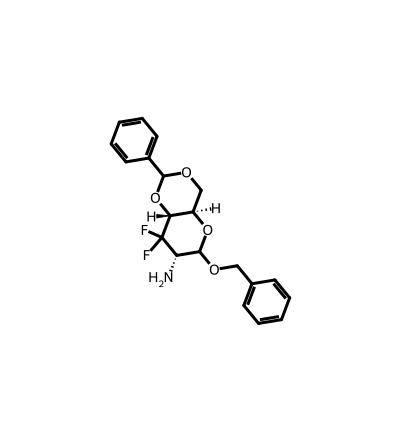 N[C@H]1C(OCc2ccccc2)O[C@@H]2COC(c3ccccc3)O[C@H]2C1(F)F